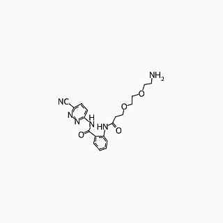 N#Cc1ccc(NC(=O)c2ccccc2NC(=O)CCOCCOCCN)nn1